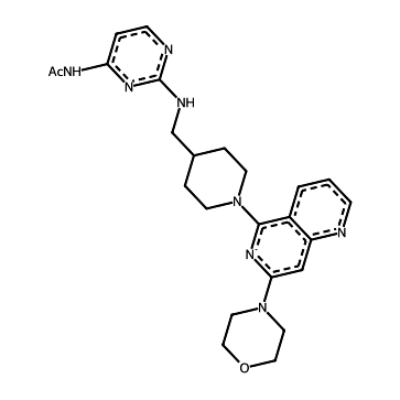 CC(=O)Nc1ccnc(NCC2CCN(c3nc(N4CCOCC4)cc4ncccc34)CC2)n1